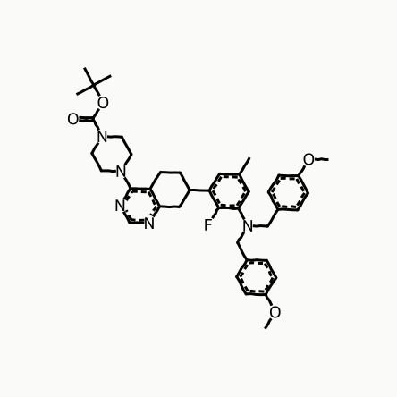 COc1ccc(CN(Cc2ccc(OC)cc2)c2cc(C)cc(C3CCc4c(ncnc4N4CCN(C(=O)OC(C)(C)C)CC4)C3)c2F)cc1